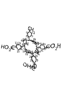 Cc1ccc(-c2c3nc(c(-c4ccc(C(=O)O)cc4)c4ccc([nH]4)c(-c4ccc(OC=O)cc4)c4nc(c(-c5ccc(C(=O)O)cc5)c5ccc2[nH]5)C=C4)C=C3)cc1